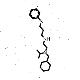 CC(C)N(CCNCCCSc1ccccc1)CC1CCCCC1